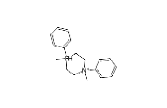 C[N+]1(c2ccccc2)CC[PH](C)(c2ccccc2)CC1